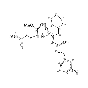 CNC(=O)CCC(NC(=O)/C(CC1CCCCC1)=N/C(=O)OCc1cccc(Cl)c1)C(=O)OC